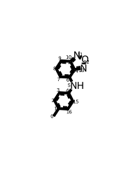 Cc1ccc(Nc2cccc3nonc23)cc1